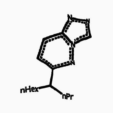 CCCCCCC(CCC)c1ccc2nncn2n1